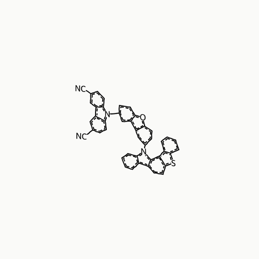 N#Cc1ccc2c(c1)c1cc(C#N)ccc1n2-c1ccc2oc3ccc(-n4c5ccccc5c5ccc6sc7ccccc7c6c54)cc3c2c1